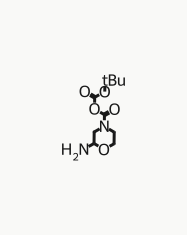 CC(C)(C)OC(=O)OC(=O)N1CCOC(N)C1